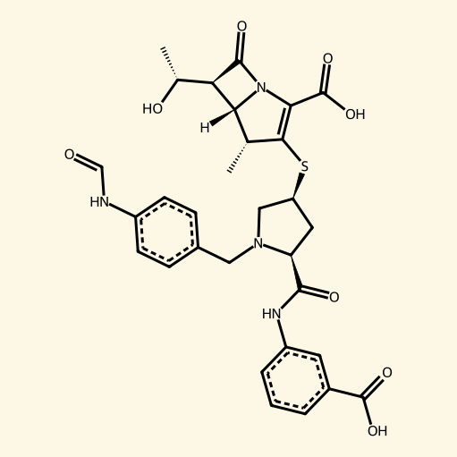 C[C@@H](O)[C@H]1C(=O)N2C(C(=O)O)=C(S[C@H]3C[C@@H](C(=O)Nc4cccc(C(=O)O)c4)N(Cc4ccc(NC=O)cc4)C3)[C@H](C)[C@H]12